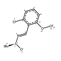 CC(C)(C)[S@+]([O-])/N=C/c1c(Cl)cccc1OC(F)(F)F